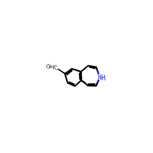 O=Cc1ccc2c(c1)C=CNC=C2